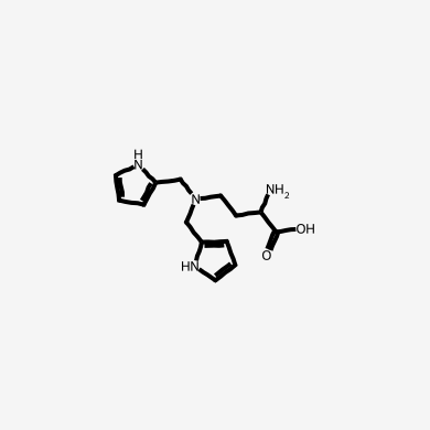 NC(CCN(Cc1ccc[nH]1)Cc1ccc[nH]1)C(=O)O